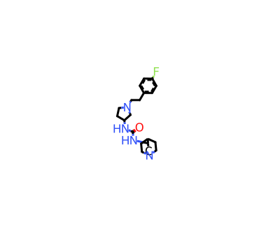 O=C(NC1CCN(CCc2ccc(F)cc2)C1)NC1CN2CCC1CC2